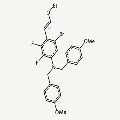 CCO/C=C/c1c(Br)cc(N(Cc2ccc(OC)cc2)Cc2ccc(OC)cc2)c(F)c1F